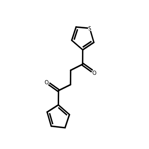 O=C(CCC(=O)c1ccsc1)C1=CCC=C1